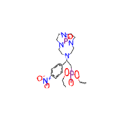 CCOP(=O)(CC(c1ccc([N+](=O)[O-])cc1)N1CCN2CCN3CCN(CC1)P23=O)OCC